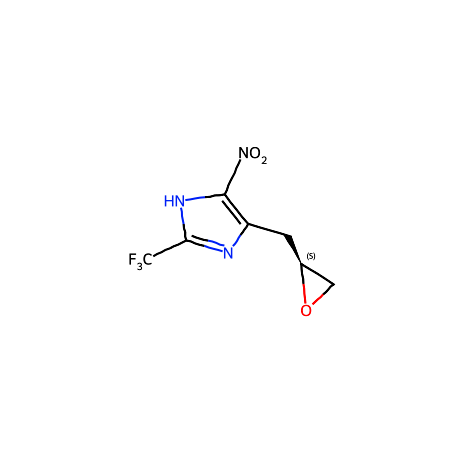 O=[N+]([O-])c1[nH]c(C(F)(F)F)nc1C[C@H]1CO1